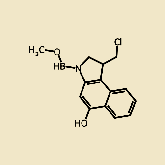 COBN1CC(CCl)c2c1cc(O)c1ccccc21